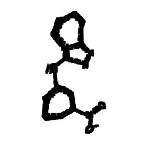 O=[N+]([O-])c1cccc(Nc2nnc3ccccn23)c1